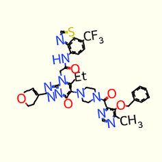 CCc1c(N2CCN(C(=O)c3ncnc(C)c3OCc3ccccc3)CC2)c(=O)n2nc(C3=CCOCC3)nc2n1CC(=O)Nc1ccc(C(F)(F)F)c2scnc12